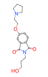 O=C1c2ccc(OCCN3CCCC3)cc2C(=O)N1CCCO